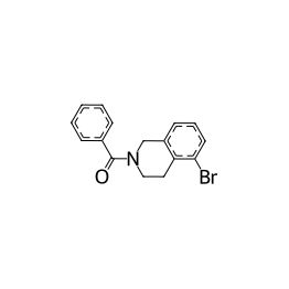 O=C(c1ccccc1)N1CCc2c(Br)cccc2C1